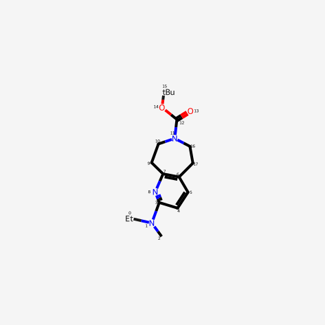 CCN(C)c1ccc2c(n1)CCN(C(=O)OC(C)(C)C)CC2